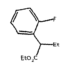 CCOC(=O)C(CC)c1ccccc1F